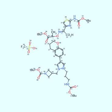 CC(C)(C)OC(=O)NCCCn1cc(-c2ccc3c(c2)CC[C@H](C(C)(O/N=C(\C(=O)O)c2csc(NC(=O)OC(C)(C)C)n2)C(=O)OC(C)(C)C)O3)c[n+]1CC1CN(C(=O)OC(C)(C)C)C1.O=S(=O)([O-])C(F)(F)F